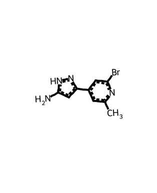 Cc1cc(-c2cc(N)[nH]n2)cc(Br)n1